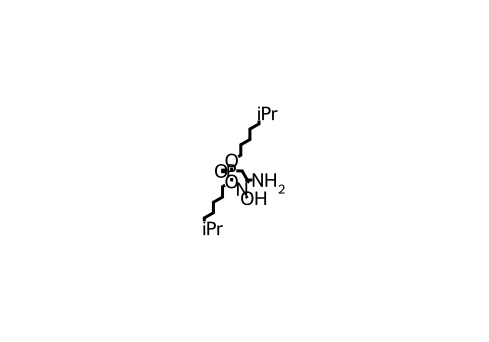 CC(C)CCCCCOP(=O)(CC(N)=NO)OCCCCCC(C)C